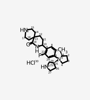 C[C@H]1CCC[N+]1(c1ccc(C2CCC3(CCNCC3)C(=O)N2)c(F)c1)[C@H]1CCNC1.Cl